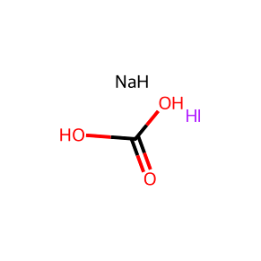 I.O=C(O)O.[NaH]